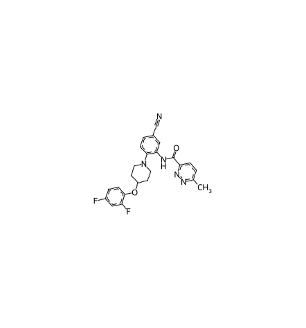 Cc1ccc(C(=O)Nc2cc(C#N)ccc2N2CCC(Oc3ccc(F)cc3F)CC2)nn1